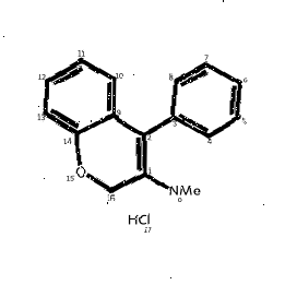 CNC1=C(c2ccccc2)c2ccccc2OC1.Cl